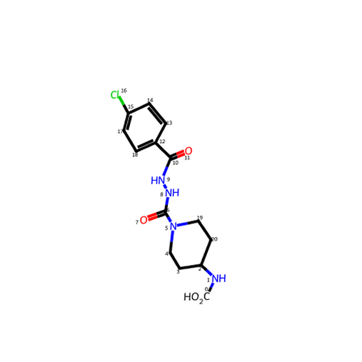 O=C(O)NC1CCN(C(=O)NNC(=O)c2ccc(Cl)cc2)CC1